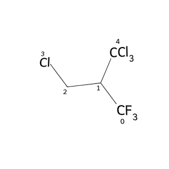 FC(F)(F)C(CCl)C(Cl)(Cl)Cl